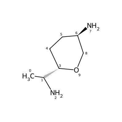 CC(N)[C@@H]1CC[C@@H](N)CO1